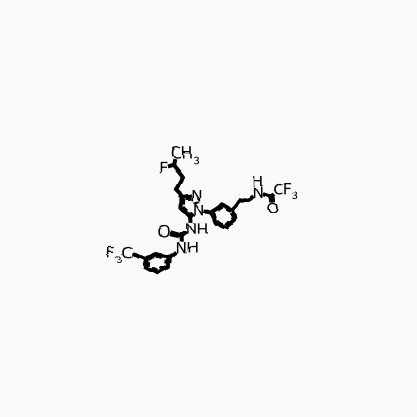 CC(F)CCc1cc(NC(=O)Nc2cccc(C(F)(F)F)c2)n(-c2cccc(CCNC(=O)C(F)(F)F)c2)n1